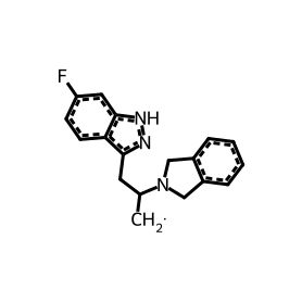 [CH2]C(Cc1n[nH]c2cc(F)ccc12)N1Cc2ccccc2C1